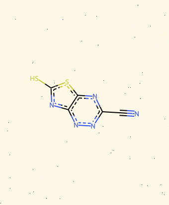 N#Cc1nnc2nc(S)sc2n1